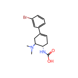 CN(C)[C@H]1CC(c2cccc(Br)c2)=CC[C@@H]1NC(=O)O